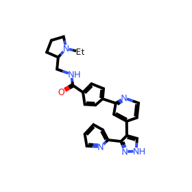 CCN1CCCC1CNC(=O)c1ccc(-c2cc(-c3c[nH]nc3-c3ccccn3)ccn2)cc1